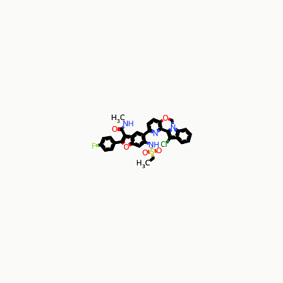 CCS(=O)(=O)Nc1cc2oc(-c3ccc(F)cc3)c(C(=O)NC)c2cc1-c1ccc2c(n1)-c1c(Cl)c3ccccc3n1CO2